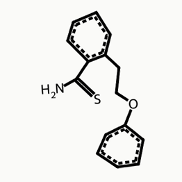 NC(=S)c1ccccc1CCOc1ccccc1